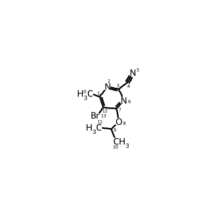 Cc1nc(C#N)nc(OC(C)C)c1Br